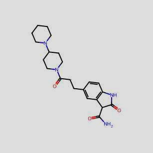 NC(=O)C1C(=O)Nc2ccc(C[CH]C(=O)N3CCC(N4CCCCC4)CC3)cc21